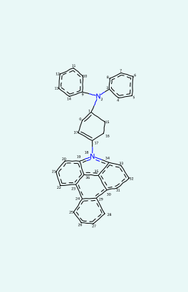 C1=C(N(c2ccccc2)c2ccccc2)CCC(n2c3cccc4c5ccccc5c5cccc2c5c43)=C1